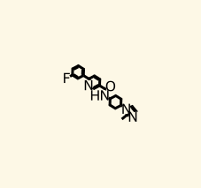 Cc1nccn1C1CCC(NC(=O)c2ccc(-c3cccc(F)c3)nc2)CC1